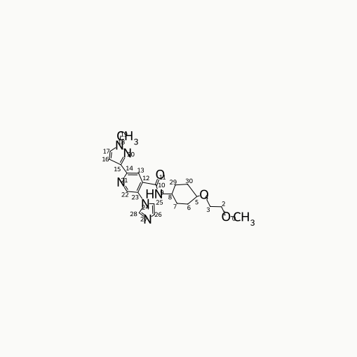 COCCOC1CCC(NC(=O)c2cc(-c3ccn(C)n3)ncc2-n2ccnc2)CC1